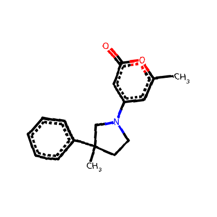 Cc1cc(N2CCC(C)(c3ccccc3)C2)cc(=O)o1